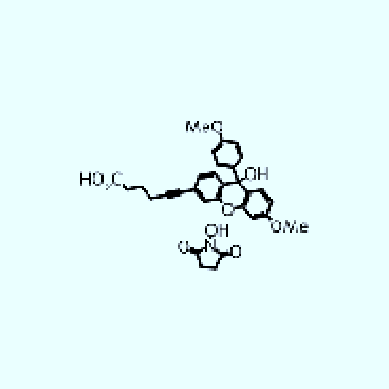 COc1ccc(C2(O)c3ccc(C#CCCCC(=O)O)cc3Oc3cc(OC)ccc32)cc1.O=C1CCC(=O)N1O